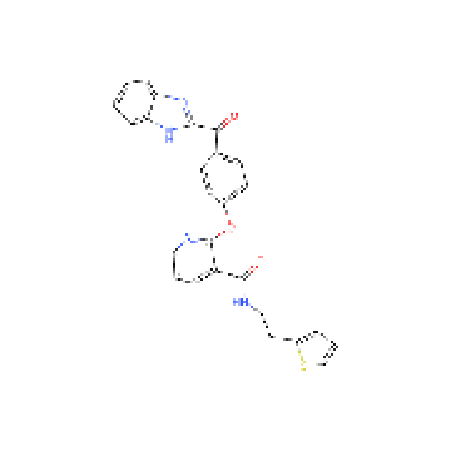 O=C(c1ccc(Oc2ncccc2C(=O)NCCc2cccs2)cc1)c1nc2ccccc2[nH]1